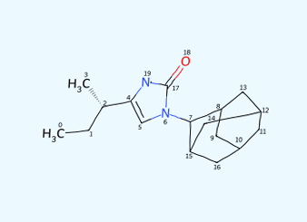 CC[C@H](C)C1=CN(C2C3CC4CC(C3)CC2C4)C(=O)[N]1